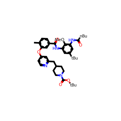 CCCCC(=O)Nc1cc(C(C)(C)C)cc(NC(=O)c2ccc(C)c(Oc3ccnc(CC4CCN(C(=O)OC(C)(C)C)CC4)c3)c2)c1OC